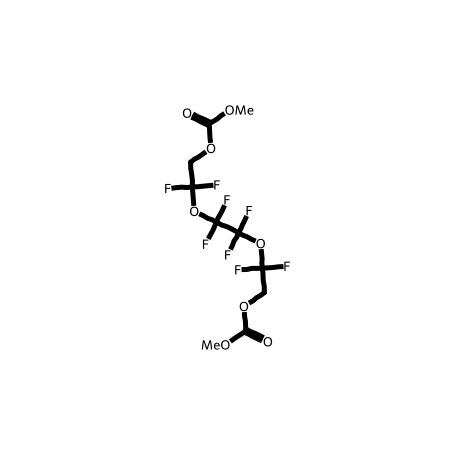 COC(=O)OCC(F)(F)OC(F)(F)C(F)(F)OC(F)(F)COC(=O)OC